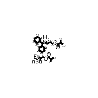 C=C(C)C(=O)OCC(CC)CCCC.C=C(C)C(=O)OCCC[SiH2]C(c1ccccc1)c1ccccc1